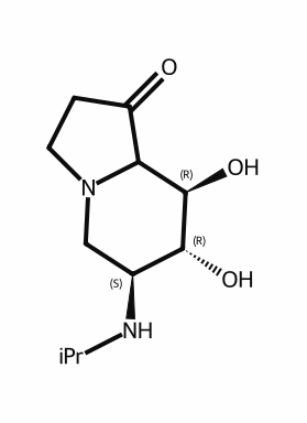 CC(C)N[C@H]1CN2CCC(=O)C2[C@@H](O)[C@@H]1O